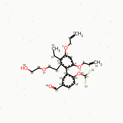 C=CCOc1cc(OCC=C)c(-c2cc(C=O)ccc2OC(F)F)c(CCOCCO)c1CC